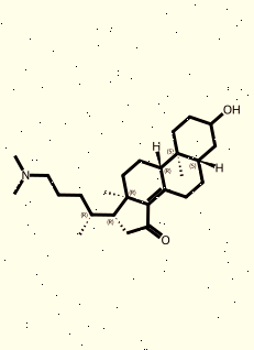 C[C@H](CCCN(C)C)[C@H]1CC(=O)C2=C3CC[C@H]4CC(O)CC[C@]4(C)[C@H]3CC[C@@]21C